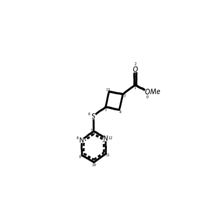 COC(=O)C1CC(Sc2ncccn2)C1